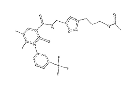 CC(=O)OCCCc1cc(CNC(=O)c2cc(I)c(C)n(-c3cccc(C(F)(F)F)c3)c2=O)on1